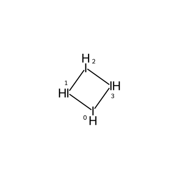 [IH]1[IH][IH][IH]1